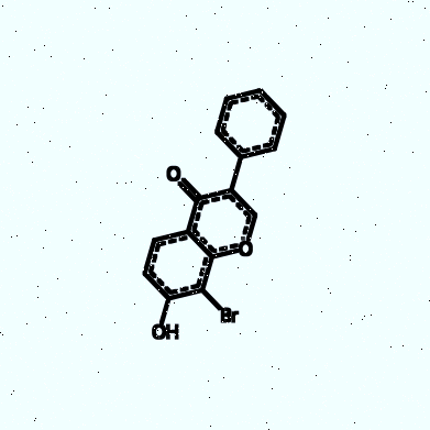 O=c1c(-c2ccccc2)coc2c(Br)c(O)ccc12